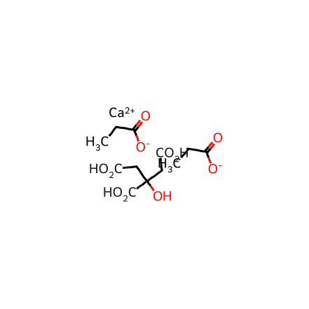 CCC(=O)[O-].CCC(=O)[O-].O=C(O)CC(O)(CC(=O)O)C(=O)O.[Ca+2]